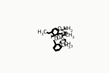 CCC1=CC=CC(CS(N)(=O)=O)(O[Si](CC)(CC)CC)C1(I)OCc1ccccc1